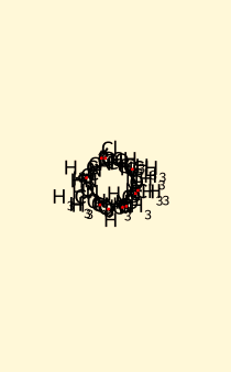 CCCC[C@@H]1NC(=O)[C@H](Cc2cccc(I)c2)NC(=O)CN(C)C(=O)[C@H](Cc2ccc(Cl)cc2)N(C)C(=O)CN(C)C(=O)CN(C)C(=O)[C@H]([C@@H](C)CC)NC(=O)[C@H](CC(C)C)N(C)C(=O)C[C@@H](C(=O)N2CCCC2)N(C)C(=O)[C@H](Cc2ccccc2)NC(=O)C(C)(C)N(C)C1=O